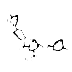 COc1cc(C(=O)N2CCC(c3ccc(C)nn3)CC2)ncc1OCc1ccc(F)cc1